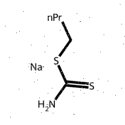 CCCCSC(N)=S.[Na]